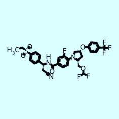 CCS(=O)(=O)c1ccc([C@H](CC#N)NC(=O)c2ccc(N3C[C@H](Oc4ccc(C(F)(F)F)cc4)C[C@H]3COC(F)F)c(F)c2)cc1